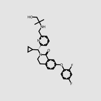 CC(C)(CO)NCc1cccc([C@@H](C2CC2)N2CCc3ccc(Oc4ccc(F)cc4F)cc3C2=O)n1